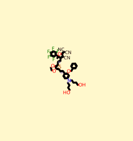 CC1(c2c(F)c(F)c(F)c(F)c2F)OC(=C(C#N)C#N)C(C#N)=C1/C=C/c1sc(/C=C/c2ccc(N(CCCCO)CCCCO)cc2OCc2ccccc2)c2c1OCCO2